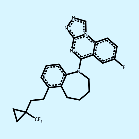 Fc1ccc2c(c1)c(N1CCCCc3c(CCC4(C(F)(F)F)CC4)cccc31)nc1nncn12